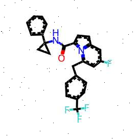 O=C(NC1(c2ccccc2)CC1)c1ccc2cc(F)cc(Cc3ccc(C(F)(F)F)cc3)n12